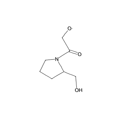 [O]CC(=O)N1CCCC1CO